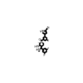 CN/C(=C1/CCN(C(=O)c2cc(F)cc(-c3c[nH]c(C#N)c3)c2)[C@@H](C)C1=N)c1cc(F)cc(F)c1